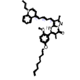 CCCCCCCCOc1ccc(OC)c(C2=C(C)C(=O)N3N=C(C)/C(=C/C=C/C=C4\C=CN(CCC)c5ccccc54)C3N2)c1